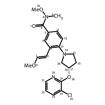 COC=Cc1cc(C(=O)N(C)OC)ccc1N1CC[C@H](Oc2ncccc2Cl)C1